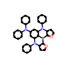 c1ccc(N(c2ccccc2)c2cc3c4c(c2)N(c2ccccc2)c2ccoc2B4c2occc2N3c2ccccc2)cc1